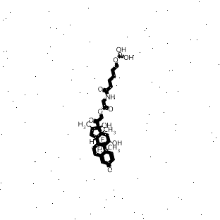 C[C@H]1C[C@H]2[C@@H]3CCC4=CC(=O)C=C[C@]4(C)C3(F)[C@@H](O)C[C@]2(C)[C@@]1(O)C(=O)COC(=O)CNC(=O)CCCCCON(O)O